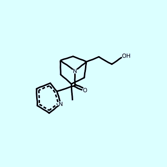 CC1CC2CC(CCO)(C1)N2C(=O)c1ccccn1